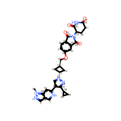 Cn1ncc2cnc(-c3cn([C@H]4C[C@H](COc5ccc6c(c5)C(=O)N(C5CCC(=O)NC5=O)C6=O)C4)nc3C3CC3)cc21